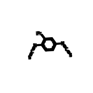 CC(C)c1cc(N=C=S)ccc1N=C=S